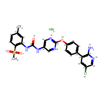 Br.CS(=O)(=O)c1ccc(C(F)(F)F)cc1NC(=O)Nc1cnc(Oc2ccc(-c3cc(Cl)cnc3N)cc2)nc1